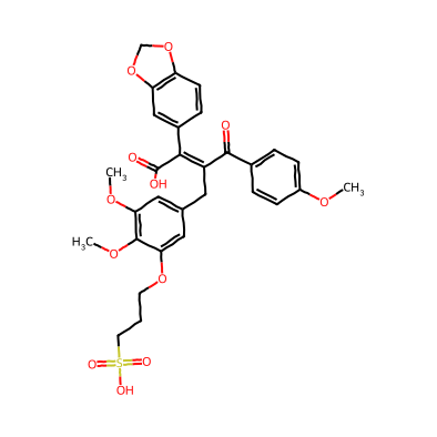 COc1ccc(C(=O)/C(Cc2cc(OC)c(OC)c(OCCCS(=O)(=O)O)c2)=C(/C(=O)O)c2ccc3c(c2)OCO3)cc1